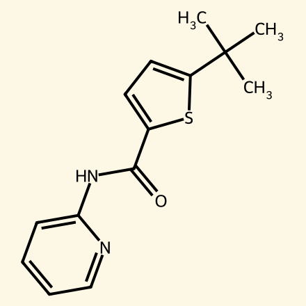 CC(C)(C)c1ccc(C(=O)Nc2ccccn2)s1